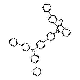 c1ccc(-c2ccc(N(c3ccc(-c4ccccc4)cc3)c3ccc(-c4ccc(-n5c6ccccc6c6oc7cc(-c8ccccc8)ccc7c65)cc4)cc3)cc2)cc1